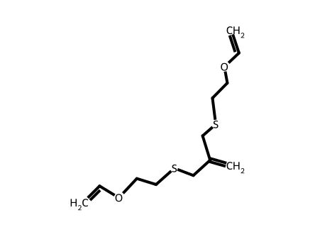 C=COCCSCC(=C)CSCCOC=C